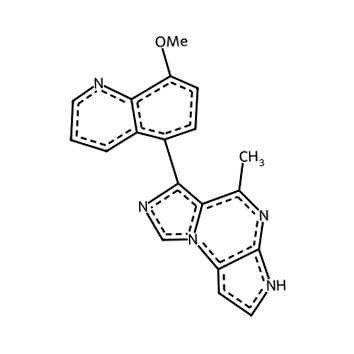 COc1ccc(-c2ncn3c2c(C)nc2[nH]ccc23)c2cccnc12